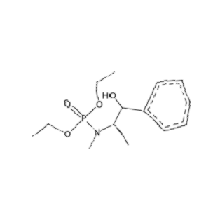 CCOP(=O)(OCC)N(C)C(C)C(O)c1ccccc1